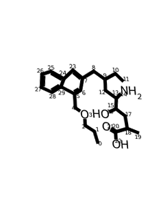 CCCOCc1cc(CC(CC)CC(N)C(O)CC(C)C(=O)O)cc2ccccc12